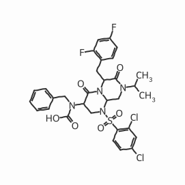 CC(C)N1CC2N(C(=O)C(N(Cc3ccccc3)C(=O)O)CN2S(=O)(=O)c2ccc(Cl)cc2Cl)C(Cc2ccc(F)cc2F)C1=O